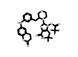 CC1(C)CC2=C(SC(N3CCOCC3Cc3cccc(Nc4ccc5c(c4)CCC(=O)O5)c3)N2OC(=O)C(F)(F)F)C(=O)N1